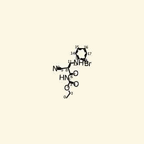 CCOC(=O)NC(=O)/C(C#N)=C\Nc1ccccc1Br